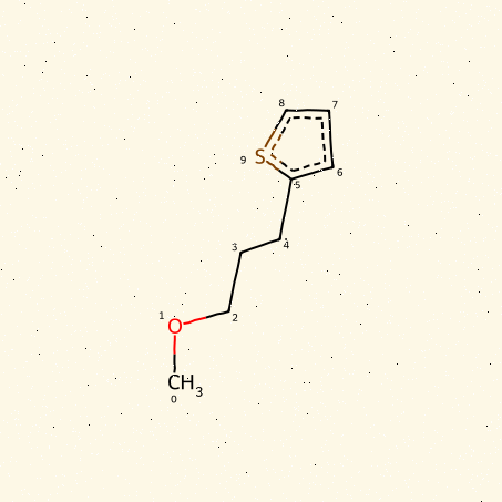 COCC[CH]c1cccs1